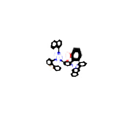 c1ccc2cc3c(cc2c1)c1ccccc1n3-c1ccc(-c2nc(-c3cccc4ccccc34)nc(-c3cccc4sc5ccccc5c34)n2)c2oc3ccccc3c12